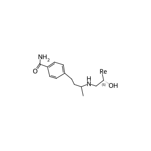 CC(CCc1ccc(C(N)=O)cc1)NC[C@@H](O)[Re]